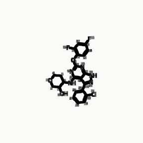 OC1COCCC1Nc1nc(Oc2ccc(F)cc2F)nc2[nH]nc(-c3ccccc3Cl)c12